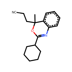 CC1(CCC#N)OC(C2CCCCC2)=Nc2ccccc21